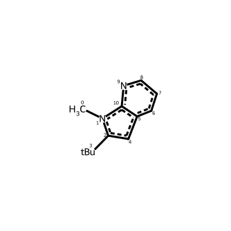 Cn1c(C(C)(C)C)cc2cccnc21